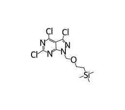 C[Si](C)(C)CCOCn1nc(Cl)c2c(Cl)nc(Cl)nc21